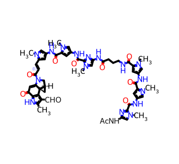 CC(=O)Nc1cn(C)c(C(=O)Nc2cc(C(=O)Nc3cc(C(=O)NCCCC(=O)Nc4cn(C)c(C(=O)Nc5cc(C(=O)Nc6cc(/C=C/C(=O)N7C[C@H]8C[C@@]89C7=CC(=O)c7[nH]c(C)c(C=O)c79)n(C)c6)n(C)c5)n4)n(C)c3)n(C)c2)n1